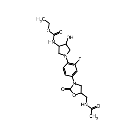 CCOC(=O)NC1CN(c2ccc(N3CC(CNC(C)=O)OC3=O)cc2F)CC1O